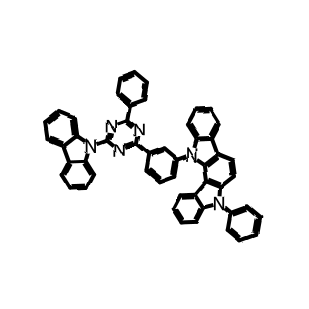 c1ccc(-c2nc(-c3cccc(-n4c5ccccc5c5ccc6c(c7ccccc7n6-c6ccccc6)c54)c3)nc(-n3c4ccccc4c4ccccc43)n2)cc1